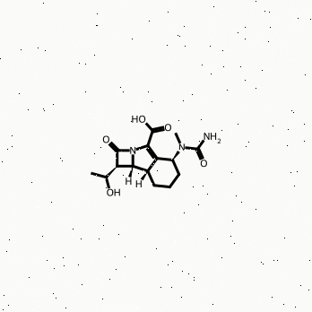 CC(O)[C@H]1C(=O)N2C(C(=O)O)=C3[C@H](CCC[C@@H]3N(C)C(N)=O)[C@H]12